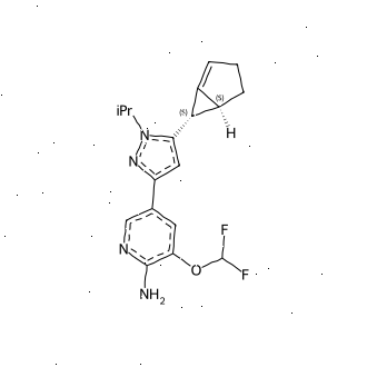 CC(C)n1nc(-c2cnc(N)c(OC(F)F)c2)cc1[C@@H]1C2=CCC[C@H]21